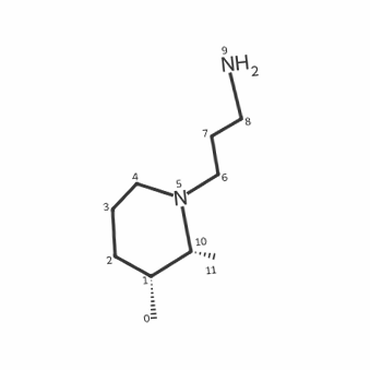 C[C@@H]1CCCN(CCCN)[C@@H]1C